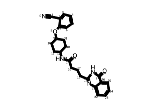 N#Cc1ccccc1OC1CCC(NC(=O)CCCc2nc3ccccc3c(=O)[nH]2)CC1